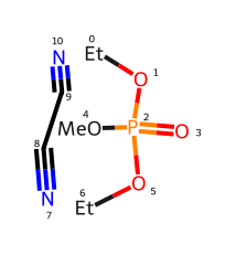 CCOP(=O)(OC)OCC.N#CC#N